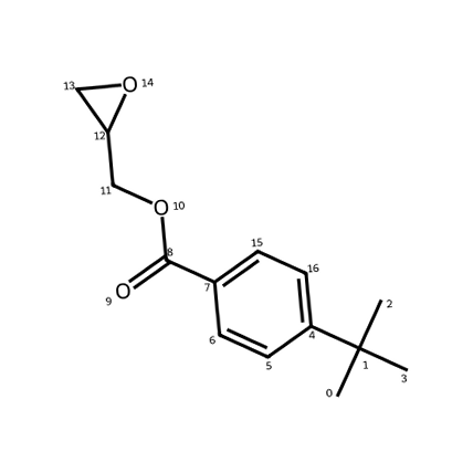 CC(C)(C)c1ccc(C(=O)OCC2CO2)cc1